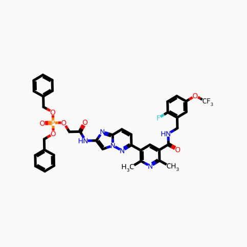 Cc1nc(C)c(-c2ccc3nc(NC(=O)COP(=O)(OCc4ccccc4)OCc4ccccc4)cn3n2)cc1C(=O)NCc1cc(OC(F)(F)F)ccc1F